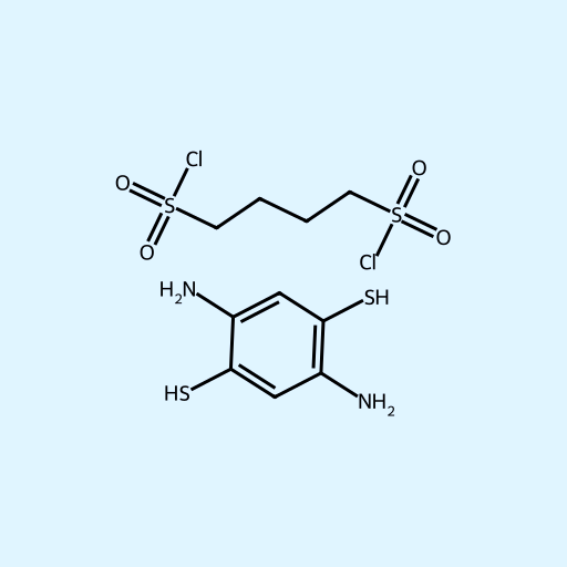 Nc1cc(S)c(N)cc1S.O=S(=O)(Cl)CCCCS(=O)(=O)Cl